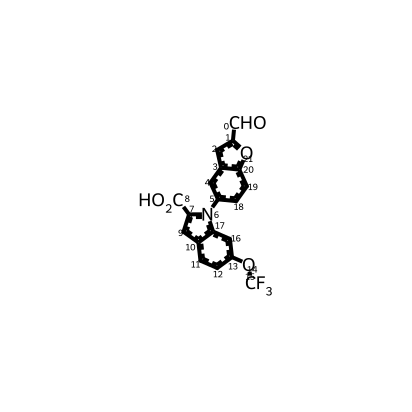 O=Cc1cc2cc(-n3c(C(=O)O)cc4ccc(OC(F)(F)F)cc43)ccc2o1